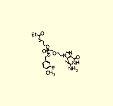 CCC(=O)SCCOP(=O)(COCCn1cnc2c(=O)[nH]c(N)nc21)OCc1ccc(C)c(F)c1